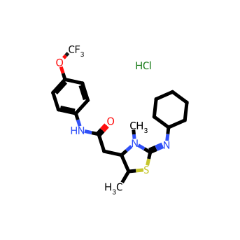 CC1SC(=NC2CCCCC2)N(C)C1CC(=O)Nc1ccc(OC(F)(F)F)cc1.Cl